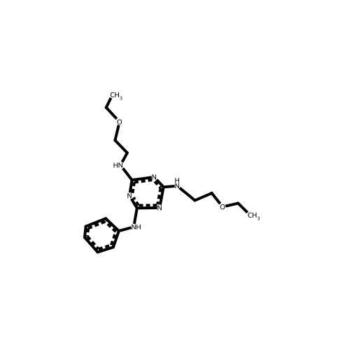 CCOCCNc1nc(NCCOCC)nc(Nc2ccccc2)n1